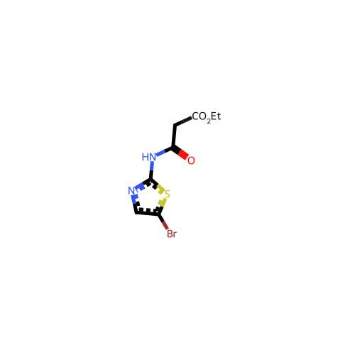 CCOC(=O)CC(=O)Nc1ncc(Br)s1